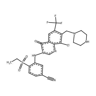 CCS(=O)(=O)c1ccc(C#N)cc1Nn1cnc2c(Cl)c(CN3CCNCC3)c(C(F)(F)F)cc2c1=O